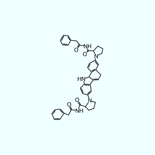 O=C(Cc1ccccc1)NC(=O)C1CCCN1c1ccc2c(c1)CC=C1c3cc(N4CCCC4C(=O)NC(=O)Cc4ccccc4)ccc3NC12